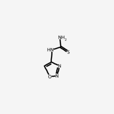 NC(=S)Nc1conn1